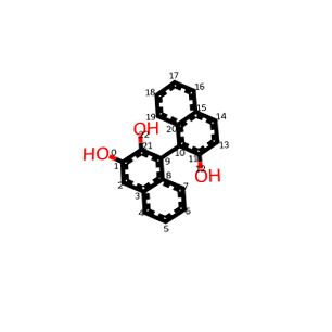 Oc1cc2ccccc2c(-c2c(O)ccc3ccccc23)c1O